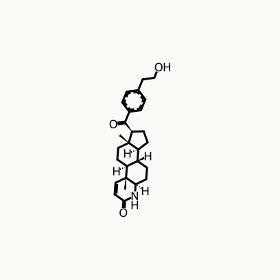 C[C@]12C=CC(=O)N[C@@H]1CC[C@@H]1[C@@H]2CC[C@]2(C)[C@@H](C(=O)c3ccc(CCO)cc3)CC[C@@H]12